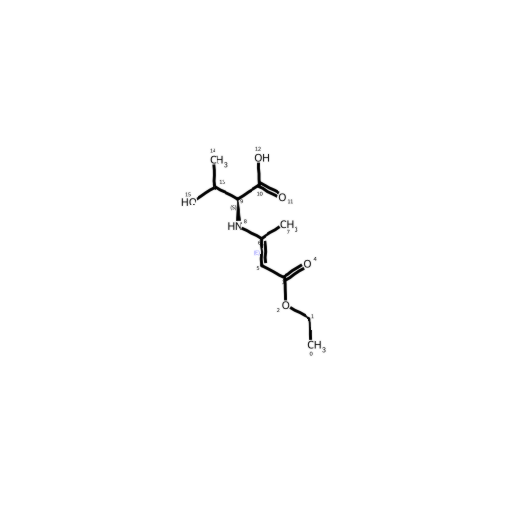 CCOC(=O)/C=C(\C)N[C@H](C(=O)O)C(C)O